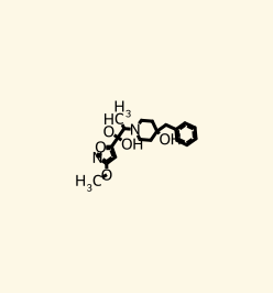 COc1cc(C(O)(O)C(C)N2CCC(O)(Cc3ccccc3)CC2)on1